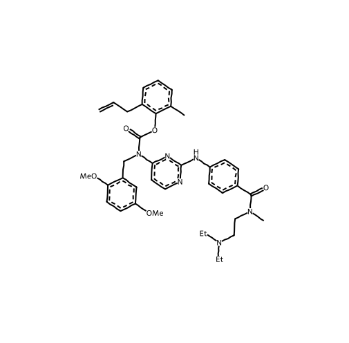 C=CCc1cccc(C)c1OC(=O)N(Cc1cc(OC)ccc1OC)c1ccnc(Nc2ccc(C(=O)N(C)CCN(CC)CC)cc2)n1